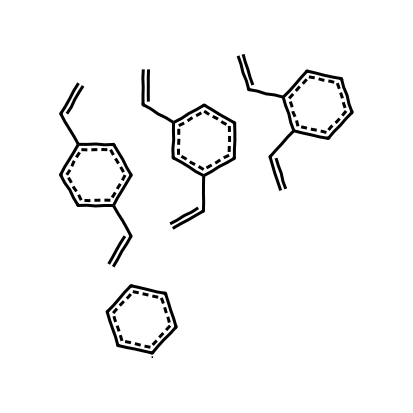 C=Cc1ccc(C=C)cc1.C=Cc1cccc(C=C)c1.C=Cc1ccccc1C=C.[c]1ccccc1